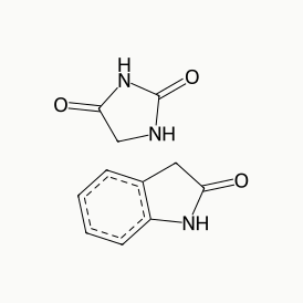 O=C1CNC(=O)N1.O=C1Cc2ccccc2N1